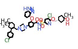 CC1(C)CCC(CN2CCN(c3ccc(C(=O)NS(=O)(=O)c4cnc(OC[C@H]5CC[C@@](C)(O)CC5)c(Cl)c4)c(Oc4cccc5[nH]nnc45)c3)CC2)=C(c2ccc(Cl)cc2)C1